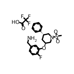 CS(=O)(=O)N1C[C@@H](Oc2cc(CN)ccc2F)C[C@H](c2ccccc2)C1.O=C(O)C(F)(F)F